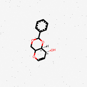 O[C@@H]1C=COC2COC(c3ccccc3)O[C@H]21